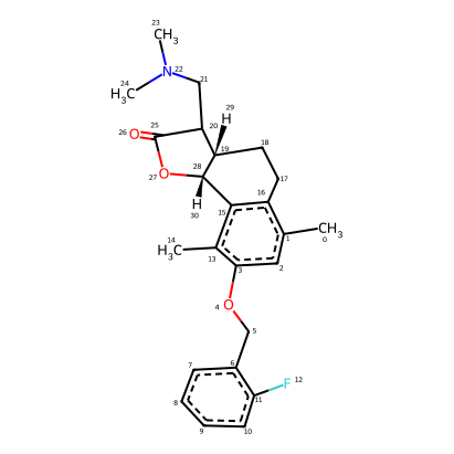 Cc1cc(OCc2ccccc2F)c(C)c2c1CC[C@H]1C(CN(C)C)C(=O)O[C@@H]21